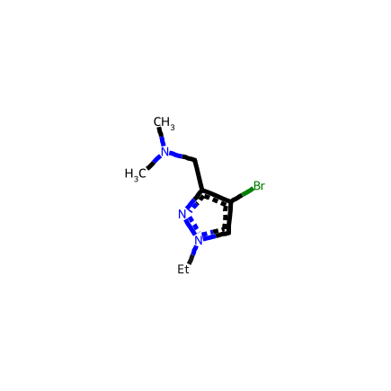 CCn1cc(Br)c(CN(C)C)n1